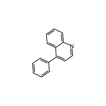 [c]1ccccc1-c1ccnc2ccccc12